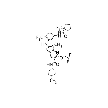 Cn1c(Nc2cc(CNC(=O)C3(C(F)(F)F)CCCC3)ccc2C(F)(F)F)nc2cc(C(=O)N[C@H]3CC[C@@H](C(F)(F)F)CC3)c(OCC(F)F)nc21